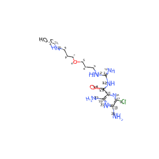 N=C(NCCCOCCCNC(=O)O)NC(=O)c1nc(Cl)c(N)nc1N